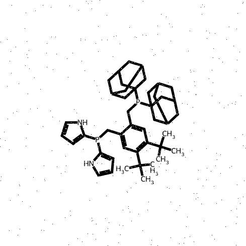 CC(C)(C)c1cc(CP(c2ccc[nH]2)c2ccc[nH]2)c(CP(C23CC4CC(CC(C4)C2)C3)C23CC4CC(CC(C4)C2)C3)cc1C(C)(C)C